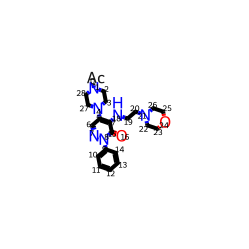 CC(=O)N1CCN(c2cnn(-c3ccccc3)c(=O)c2NCCN2CCOCC2)CC1